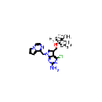 CC(C)(C)[Si](C)(C)OCC1CN(Cc2nccn3cccc23)c2nc(N)nc(Cl)c21